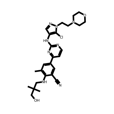 Cc1cc(-c2ccnc(Nc3cnn(CCN4CCOCC4)c3Cl)n2)cc(C#N)c1NCC(C)(C)CO